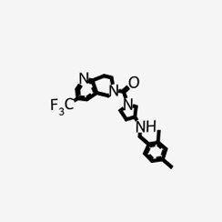 Cc1ccc(CNC2CCN(C(=O)N3CCc4ncc(C(F)(F)F)cc4C3)C2)c(C)c1